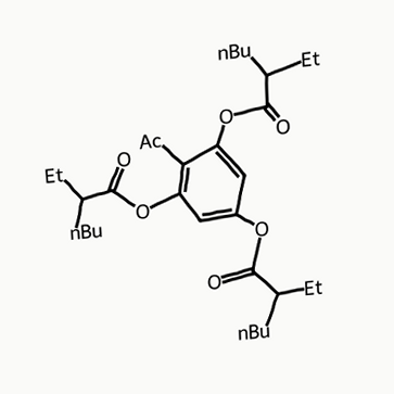 CCCCC(CC)C(=O)Oc1cc(OC(=O)C(CC)CCCC)c(C(C)=O)c(OC(=O)C(CC)CCCC)c1